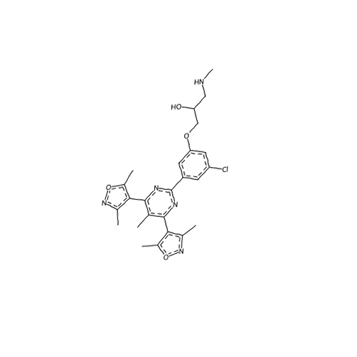 CNCC(O)COc1cc(Cl)cc(-c2nc(-c3c(C)noc3C)c(C)c(-c3c(C)noc3C)n2)c1